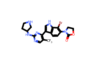 O=C1OCCN1c1ccc2c(-c3nc(NC4CCNC4)ncc3C(F)(F)F)c[nH]c2c1Br